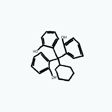 Oc1ccccc1C(c1ccccc1O)(c1ccccc1O)C1CCCCC1